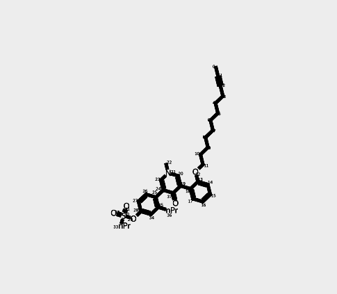 CC#CCCCCCCCCCOc1ccccc1-c1cn(C)cc(-c2ccc(OS(=O)(=O)CCC)cc2CCC)c1=O